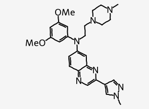 COc1cc(OC)cc(N(CCN2CCN(C)CC2)c2ccc3ncc(-c4cnn(C)c4)nc3c2)c1